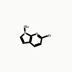 CC(C)c1ccc2ccn(C(C)(C)C)c2n1